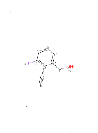 C#Cc1c(I)cccc1[CH]O